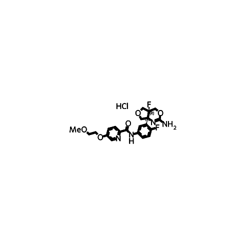 COCCOc1ccc(C(=O)Nc2ccc(F)c([C@]34COC[C@@]3(F)COC(N)=N4)c2)nc1.Cl